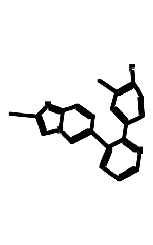 Cc1cn2cc(-c3cccnc3-c3ccc(F)c(C)c3)ccc2n1